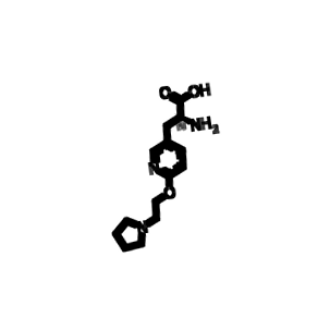 N[C@@H](Cc1ccc(OCCN2CCCC2)nc1)C(=O)O